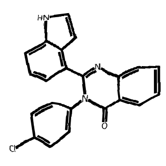 O=c1c2ccccc2nc(-c2cccc3[nH]ccc23)n1-c1ccc(Cl)cc1